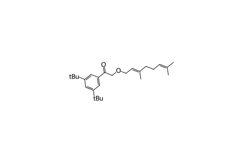 CC(C)=CCC/C(C)=C/COCC(=O)c1cc(C(C)(C)C)cc(C(C)(C)C)c1